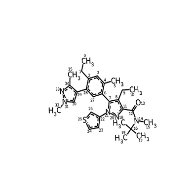 CCc1cc(C)c(-c2c(CC)c(C(=O)N(C)C(C)(C)C)nn2-c2ccsc2)cc1-c1cn(C)nc1C